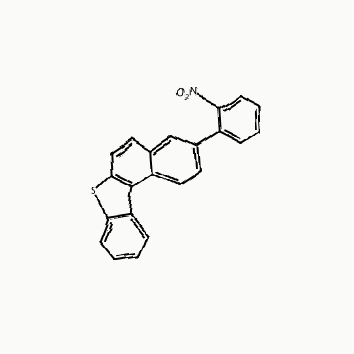 O=[N+]([O-])c1ccccc1-c1ccc2c(ccc3sc4ccccc4c32)c1